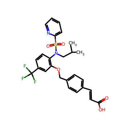 CC(C)CN(c1ccc(C(F)(F)F)cc1OCc1ccc(/C=C/C(=O)O)cc1)S(=O)(=O)c1ccccn1